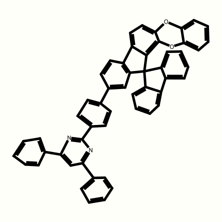 c1ccc(-c2cc(-c3ccccc3)nc(-c3ccc(-c4ccc5c(c4)C4(c6ccccc6-c6ccccc64)c4c-5ccc5c4Oc4ccccc4O5)cc3)n2)cc1